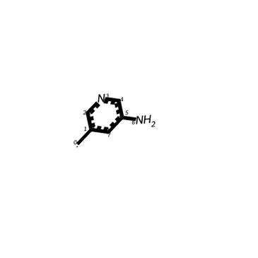 [CH2]c1cncc(N)c1